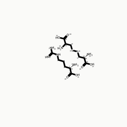 N=C(N)NCCC[C@H](N)C(=O)O.NC(CSSC[C@H](N)C(=O)O)C(=O)O